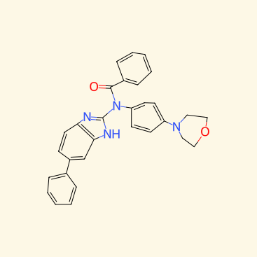 O=C(c1ccccc1)N(c1ccc(N2CCOCC2)cc1)c1nc2ccc(-c3ccccc3)cc2[nH]1